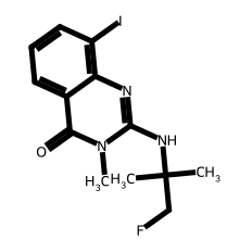 Cn1c(NC(C)(C)CF)nc2c(I)cccc2c1=O